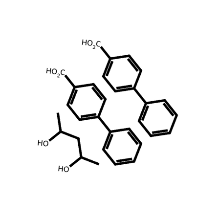 CC(O)CC(C)O.O=C(O)c1ccc(-c2ccccc2)cc1.O=C(O)c1ccc(-c2ccccc2)cc1